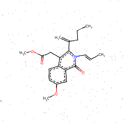 C=C(CCC)c1c(CC(=O)OC)c2ccc(OC)cc2c(=O)n1C=CC